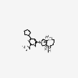 Nc1nc(C2CCCC2)cc(N2C[C@@H]3NCCO[C@@H]3C2)n1